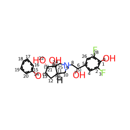 Oc1c(F)cc([C@H](O)CN2C[C@H]3C[C@H](Oc4ccccc4)[C@H](O)[C@@]3(O)C2)cc1F